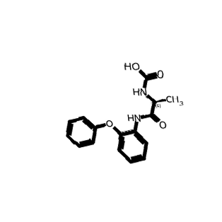 C[C@H](NC(=O)O)C(=O)Nc1ccccc1Oc1ccccc1